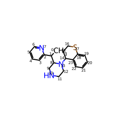 CC(c1ccccn1)C1CNCCN1C1CCSc2ccccc21